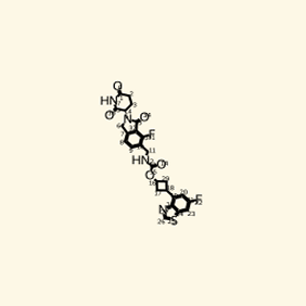 O=C1CC[C@H](N2Cc3ccc(CNC(=O)OC4CC(c5cc(F)cc6scnc56)C4)c(F)c3C2=O)C(=O)N1